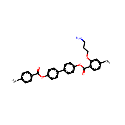 Cc1ccc(C(=O)Oc2ccc(-c3ccc(OC(=O)c4ccc(C)cc4OCCCN)cc3)cc2)cc1